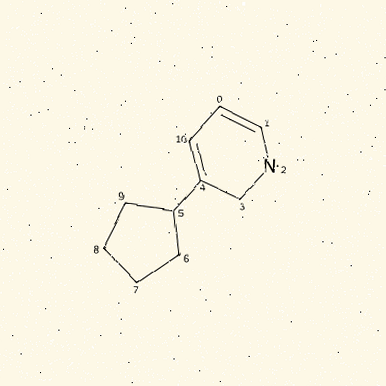 C1=C[N]CC(C2CCCC2)=C1